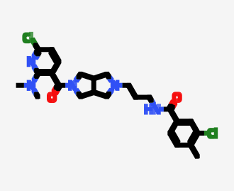 Cc1ccc(C(=O)NCCCN2CC3CN(C(=O)c4ccc(Cl)nc4N(C)C)CC3C2)cc1Cl